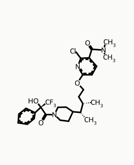 C[C@H](C1CCN(C(=O)[C@@](O)(c2ccccc2)C(F)(F)F)CC1)[C@@H](C)CCOc1ccc(C(=O)N(C)C)c(Cl)n1